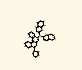 c1ccc(-c2cc3cc(N(c4ccc5ccccc5c4)c4ccc5ccccc5c4)c4ccccc4c3c3ccccc23)cc1